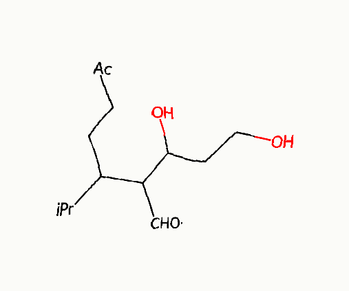 CC(=O)CCC(C(C)C)C([C]=O)C(O)CCO